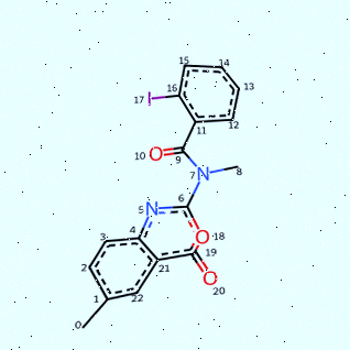 Cc1ccc2nc(N(C)C(=O)c3ccccc3I)oc(=O)c2c1